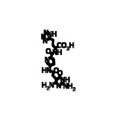 Nc1nc(N)c(CC(=O)Nc2ccc(C(=O)NC(CCc3nnn[nH]3)C(=O)O)nc2)c(=O)[nH]1